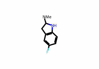 CNC1Cc2cc(F)ccc2N1